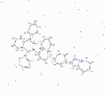 C1=CCCC(c2c3c(c(-c4ccccc4)c4ccccc24)-c2cccc4c(-c5ccc(-c6cc7ccccn7c6)cc5)ccc-3c24)=C1